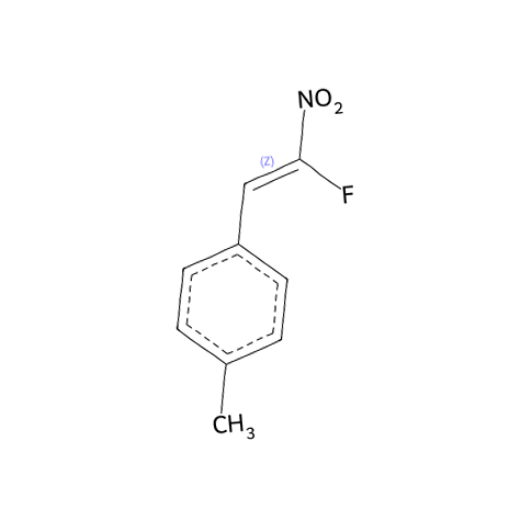 Cc1ccc(/C=C(\F)[N+](=O)[O-])cc1